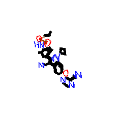 CCCS(=O)(=O)Nc1ccc(-c2c(C#N)c3ccc(Oc4nccnc4C#N)cc3n2C2CCC2)cc1C